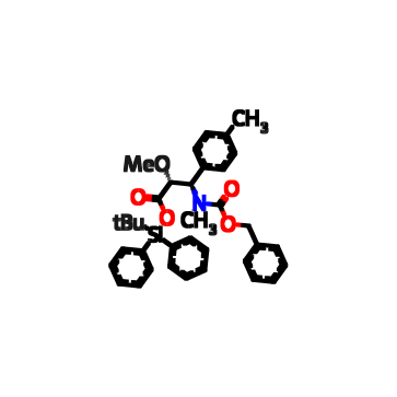 CO[C@@H](C(=O)O[Si](c1ccccc1)(c1ccccc1)C(C)(C)C)[C@@H](c1ccc(C)cc1)N(C)C(=O)OCc1ccccc1